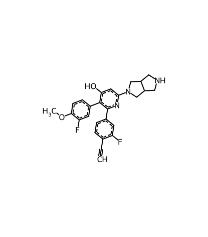 C#Cc1ccc(-c2nc(N3CC4CNCC4C3)cc(O)c2-c2ccc(OC)c(F)c2)cc1F